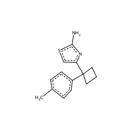 Cc1ccc(C2(c3csc(N)n3)CCC2)cc1